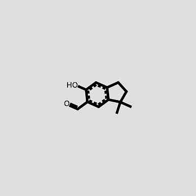 CC1(C)CCc2cc(O)c(C=O)cc21